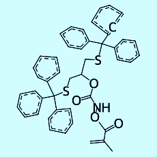 C=C(C)C(=O)ONC(=O)OC(CSC(c1ccccc1)(c1ccccc1)c1ccccc1)CSC(c1ccccc1)(c1ccccc1)c1ccccc1